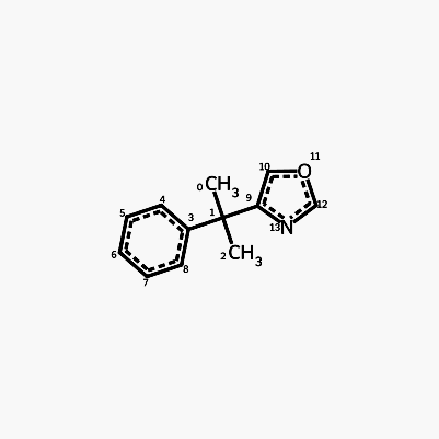 CC(C)(c1ccccc1)c1cocn1